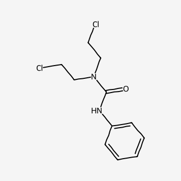 O=C(Nc1ccccc1)N(CCCl)CCCl